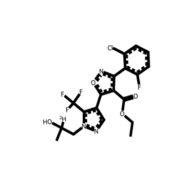 [2H]C(C)(O)Cn1ncc(-c2onc(-c3c(F)cccc3Cl)c2C(=O)OCC)c1C(F)(F)F